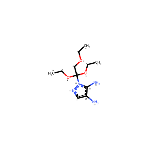 CCOCC(OCC)(OCC)n1ncc(N)c1N